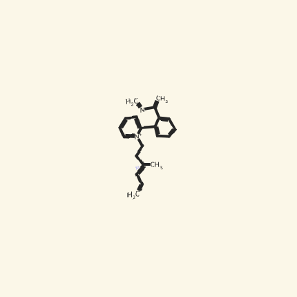 C=C/C=C(\C)CC[n+]1ccccc1-c1ccccc1C(=C)N=C